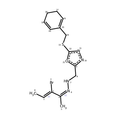 C/C=C(Br)/C(C)=N\NCc1nnc(SCC2=CCCC=C2)o1